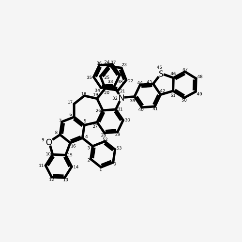 c1ccc(-c2c3c(cc4oc5ccccc5c24)CCC(c2ccccc2)c2c-3cccc2N(c2ccccc2)c2ccc3c(c2)sc2ccccc23)cc1